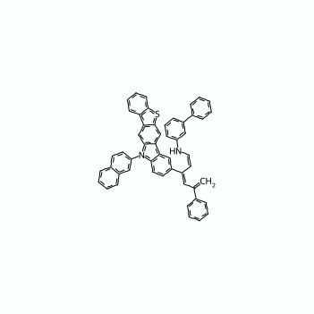 C=C(/C=C(\C=C/Nc1cccc(-c2ccccc2)c1)c1ccc2c(c1)c1cc3sc4ccccc4c3cc1n2-c1ccc2ccccc2c1)c1ccccc1